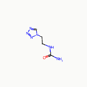 NC(=O)NCCn1[c]nnn1